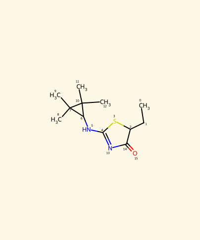 CCC1SC(NC2C(C)(C)C2(C)C)=NC1=O